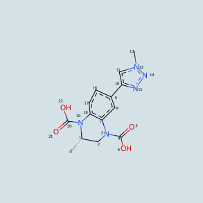 C[C@H]1CN(C(=O)O)c2cc(-c3cn(C)nn3)ccc2N1C(=O)O